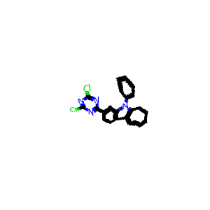 Clc1nc(Cl)nc(-c2ccc3c4c(n(-c5ccccc5)c3c2)C=CCC=C4)n1